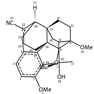 COc1ccc2c3c1OC1C4(OC)CC[C@]5(CC4[C@](C)(O)C(C)(C)C)[C@@H](C2)N(C#N)CC[C@]315